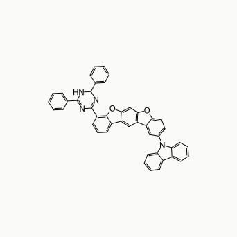 c1ccc(C2=NC(c3cccc4c3oc3cc5oc6ccc(-n7c8ccccc8c8ccccc87)cc6c5cc34)=NC(c3ccccc3)N2)cc1